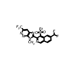 CCS(=O)(=O)c1c(-c2nc3cc(C(F)(F)F)nnc3n2C)ncc2ccc(C(F)F)cc12